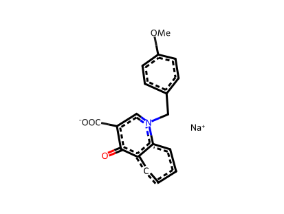 COc1ccc(Cn2cc(C(=O)[O-])c(=O)c3ccccc32)cc1.[Na+]